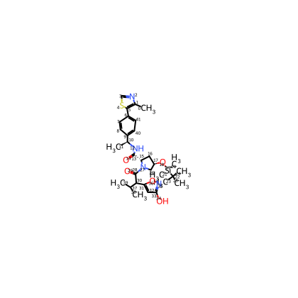 Cc1ncsc1-c1ccc([C@H](C)NC(=O)[C@@H]2C[C@@H](O[Si](C)(C)C(C)(C)C)CN2C(=O)C(c2cc(O)no2)C(C)C)cc1